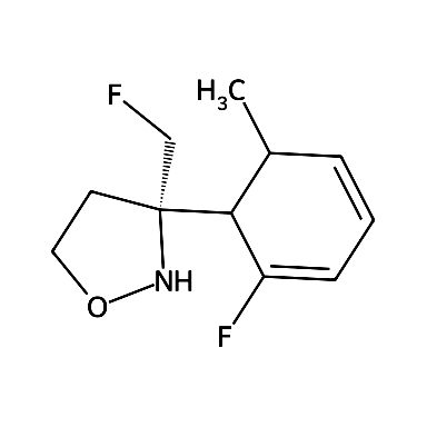 CC1C=CC=C(F)C1[C@]1(CF)CCON1